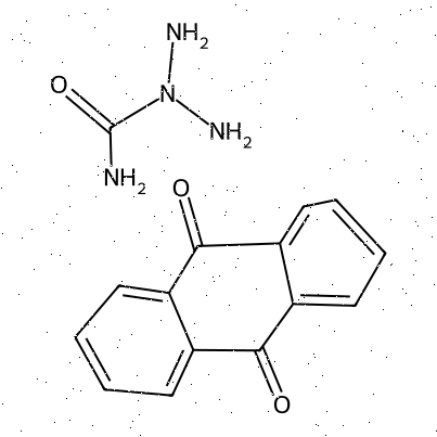 NC(=O)N(N)N.O=C1c2ccccc2C(=O)c2ccccc21